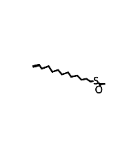 C=CCCCCCCCCCCCSC(C)=O